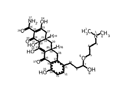 CN(C)CCCOC(O)CCc1ccc(O)c2c1C[C@H]1C[C@H]3CC(O)=C(C(N)=O)C(=O)[C@@]3(O)C(O)=C1C2=O